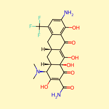 CN(C)[C@@H]1C(O)=C(C(N)=O)C(=O)[C@@]2(O)C(O)=C3C(=O)c4c(O)c(N)cc(C(F)(F)F)c4C[C@H]3C[C@@H]12